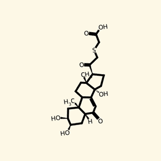 C[C@]12C[C@H](O)[C@H](O)C[C@H]1C(=O)C=C1C2CC[C@]2(C)[C@@H](C(=O)CSCC(=O)O)CC[C@@]12O